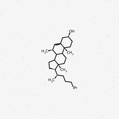 CC(C)CCC[C@@H](C)[C@H]1CCC2C3C(CC[C@@]21C)[C@@]1(C)CC[C@H](O)CC1=C[C@@H]3C